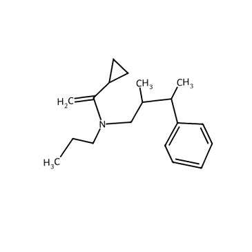 C=C(C1CC1)N(CCC)CC(C)C(C)c1ccccc1